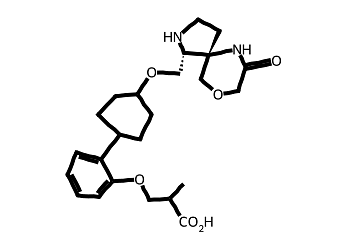 CC(COc1ccccc1C1CCC(OC[C@@H]2NCC[C@@]23COCC(=O)N3)CC1)C(=O)O